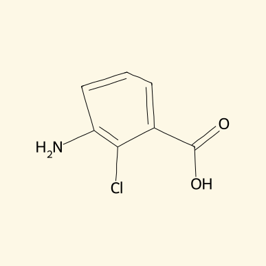 Nc1cccc(C(=O)O)c1Cl